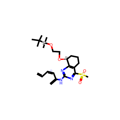 C=C/C=C\C(=C)Nc1nc2c(c(S(C)(=O)=O)n1)CCC[C@@H]2OCCO[Si](C)(C)C(C)(C)C